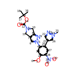 COc1cc(-n2cc3c(n2)CN(C(=O)OC(C)(C)C)C3)c(-c2cnn(C)c2)cc1[N+](=O)[O-]